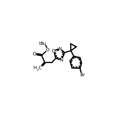 C=C(Cc1nc(C2(c3ccc(Br)cc3)CC2)no1)C(=O)OC(C)(C)C